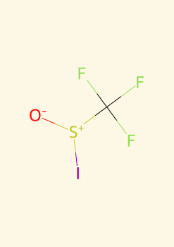 [O-][S+](I)C(F)(F)F